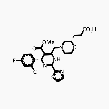 COC(=O)C1=C(CN2CCO[C@@H](CCC(=O)O)C2)NC(c2nccs2)=N[C@@H]1c1ccc(F)cc1Cl